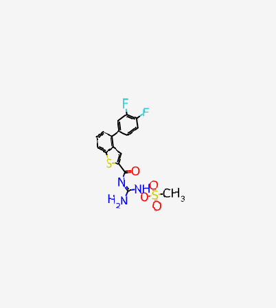 CS(=O)(=O)ONC(N)=NC(=O)c1cc2c(-c3ccc(F)c(F)c3)cccc2s1